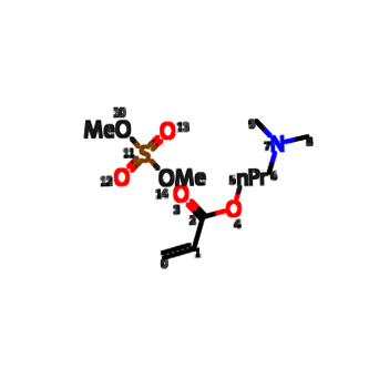 C=CC(=O)OCCC.CN(C)C.COS(=O)(=O)OC